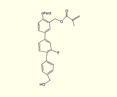 C=C(C)C(=O)OCc1cc(-c2ccc(-c3ccc(CO)cc3)c(F)c2)ccc1CCCCC